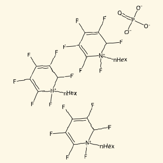 CCCCCC[N+]1(F)C(F)=C(F)C(F)=C(F)C1F.CCCCCC[N+]1(F)C(F)=C(F)C(F)=C(F)C1F.CCCCCC[N+]1(F)C(F)=C(F)C(F)=C(F)C1F.O=P([O-])([O-])[O-]